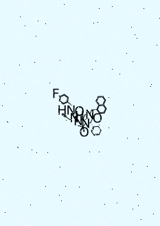 C#CCN(C(=O)NCc1ccc(F)cc1)N1CC(=O)N2[C@@H](C3=CC=CCC3)C(=O)N(Cc3cccc4ccccc34)C[C@@H]21